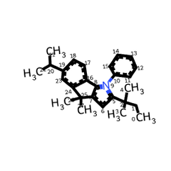 CCC(C)(C)c1cc2c(n1-c1ccccc1)-c1ccc(C(C)C)cc1C2(C)C